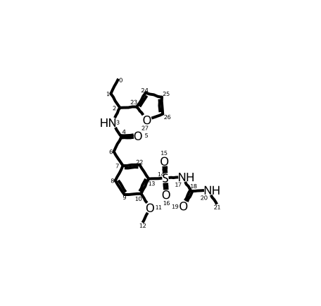 CCC(NC(=O)Cc1ccc(OC)c(S(=O)(=O)NC(=O)NC)c1)c1ccco1